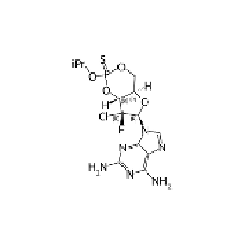 CC(C)OP1(=S)OC[C@H]2O[C@@H](n3cnc4c(N)nc(N)nc43)[C@](F)(Cl)[C@@H]2O1